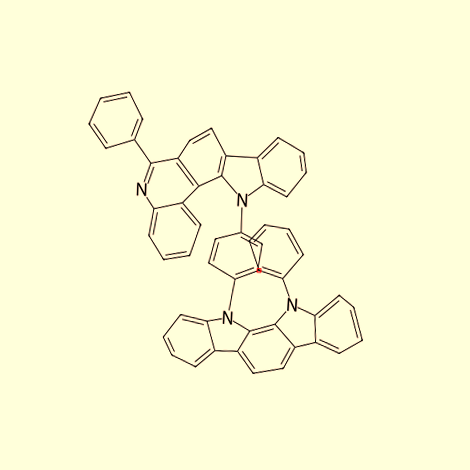 c1ccc(-c2nc3ccccc3c3c2ccc2c4ccccc4n(-c4ccc(-n5c6ccccc6c6ccc7c8ccccc8n(-c8ccccc8)c7c65)cc4)c23)cc1